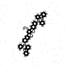 CC(C)c1cc2c3cc4ccc(N(c5ccccc5)c5cccc6c5oc5ccccc56)cc4cc3oc2c2oc3cc4cc(N(c5ccccc5)c5cccc6c5oc5ccccc56)ccc4cc3c12